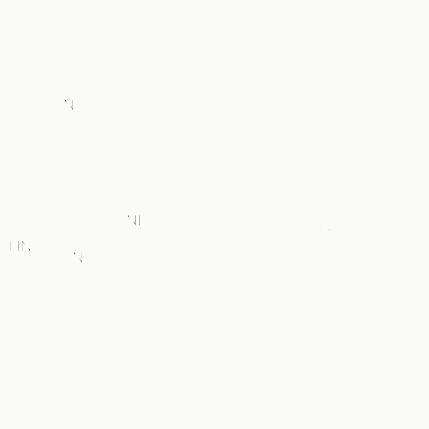 N#CC1=CNN2CCC(c3ccc(Oc4ccccc4)cc3)NC12